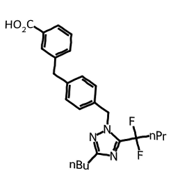 CCCCc1nc(C(F)(F)CCC)n(Cc2ccc(Cc3cccc(C(=O)O)c3)cc2)n1